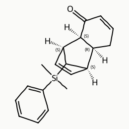 C[Si](C)(c1ccccc1)C1[C@H]2C=C[C@@H]1[C@@H]1CC=CC(=O)[C@@H]12